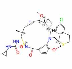 CO[C@H]1/C=C/C[C@H](C)C[S@@](=O)(NC(=O)NC2CC2)=NC(=O)c2ccc3c(c2)N(C[C@@H]2CC[C@H]21)C[C@]1(CO3)SCCc2cc(Cl)ccc21